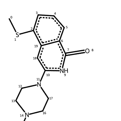 CSc1cccc2c(=O)[nH]c(N3CCN(C)CC3)cc12